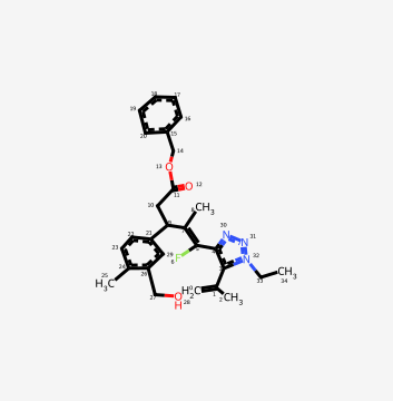 C=C(C)c1c(/C(F)=C(\C)C(CC(=O)OCc2ccccc2)c2ccc(C)c(CO)c2)nnn1CC